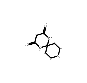 O=C1CC(=O)OC2(CCSCC2)O1